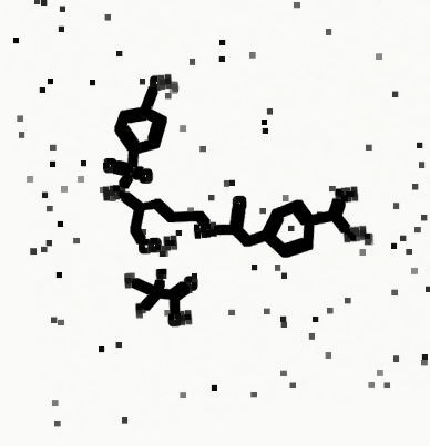 Cc1ccc(S(=O)(=O)N[C@@H](CCCNC(=O)Cc2ccc(C(=N)N)cc2)CC(=O)O)cc1.O=C(O)C(F)(F)F